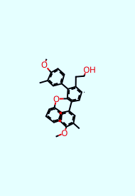 COc1ccc(-c2c[c]c(CCO)c(-c3ccc(OC)c(C)c3)c2Oc2ccccc2)cc1C